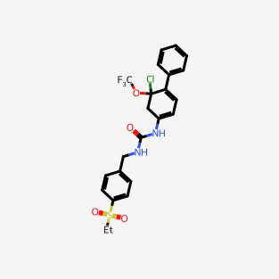 CCS(=O)(=O)c1ccc(CNC(=O)NC2=CC=C(c3ccccc3)C(Cl)(OC(F)(F)F)C2)cc1